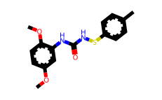 COc1ccc(OC)c(NC(=O)NSc2ccc(C)cc2)c1